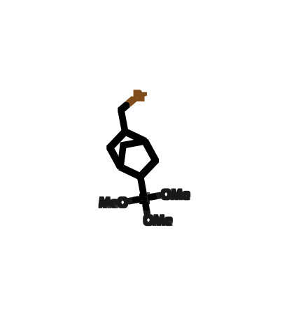 CO[Si](OC)(OC)C1CC2CC1CC2CBr